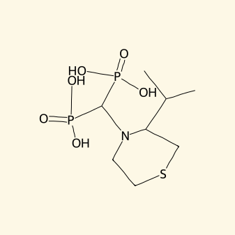 CC(C)C1CSCCN1C(P(=O)(O)O)P(=O)(O)O